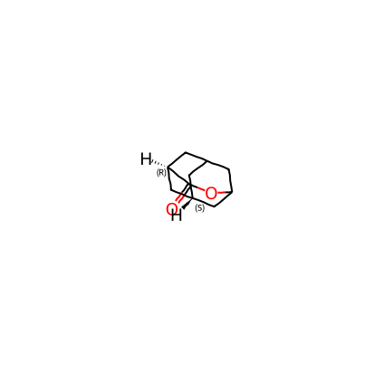 O=C1OC2CC3C[C@H](C2)C[C@H]1C3